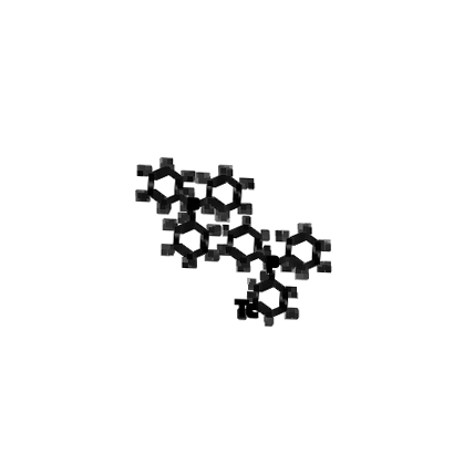 [Tc].c1ccc(P(c2ccccc2)c2ccccc2)cc1.c1ccc(P(c2ccccc2)c2ccccc2)cc1